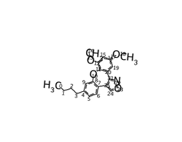 CCCCc1ccc2c(c1)Oc1c(OC)cc(OC)cc1-c1nocc1-2